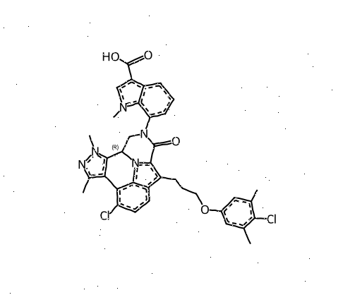 Cc1cc(OCCCc2c3n4c5c(c(Cl)ccc25)-c2c(C)nn(C)c2[C@@]4(C)CN(c2cccc4c(C(=O)O)cn(C)c24)C3=O)cc(C)c1Cl